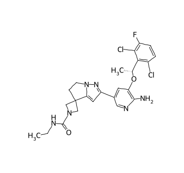 CCNC(=O)N1CC2(CCn3nc(-c4cnc(N)c(O[C@H](C)c5c(Cl)ccc(F)c5Cl)c4)cc32)C1